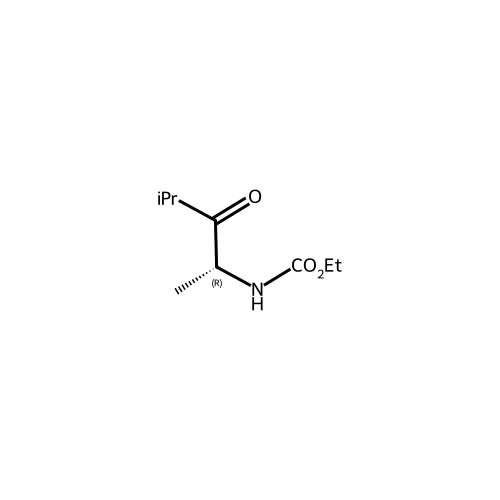 CCOC(=O)N[C@H](C)C(=O)C(C)C